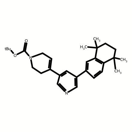 CC(C)(C)OC(=O)N1CC=C(c2cncc(-c3ccc4c(c3)C(C)(C)CCC4(C)C)c2)CC1